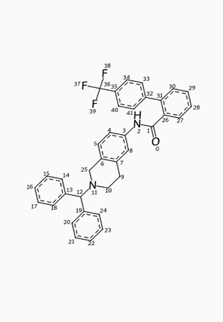 O=C(Nc1ccc2c(c1)CCN(C(c1ccccc1)c1ccccc1)C2)c1ccccc1-c1ccc(C(F)(F)F)cc1